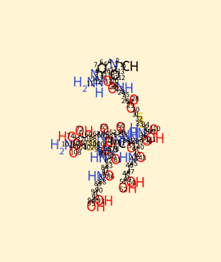 C#CCN(Cc1ccc2nc(N)[nH]c(=O)c2c1)c1ccc(C(=O)NCCCC(=O)OCCSSC[C@H](NC(=O)[C@H](CCC(=O)NCCCC[C@H](O)CO)NC(=O)[C@H](C)NC(=O)[C@H](CCC(=O)NCCCC[C@H](O)CO)NC(=O)CNC(=O)[C@H](CCC(=O)NCCCC[C@H](O)CO)NC(=O)CCSSCCOC(N)=O)C(=O)O)cc1